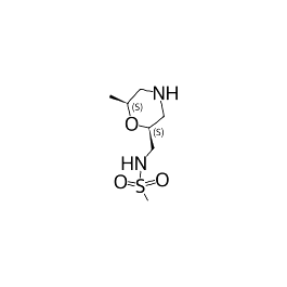 C[C@H]1CNC[C@@H](CNS(C)(=O)=O)O1